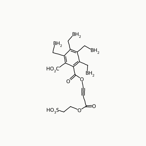 BCc1c(CB)c(CB)c(C(=O)OC#CC(=O)OCCS(=O)(=O)O)c(C(=O)O)c1CB